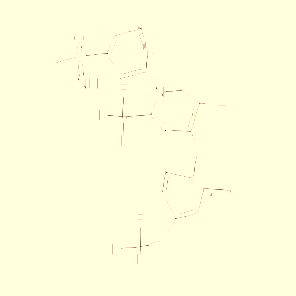 [2H]C1=C(Oc2ccc(OC(F)(F)F)cc2Cl)C=C(C(F)(F)F)N(c2cccc(S(C)(=N)=O)c2)C1